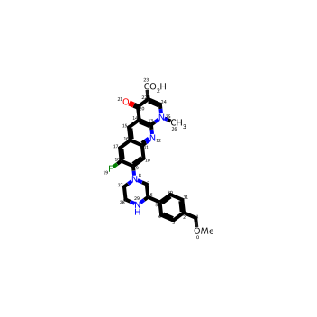 COCc1ccc(C2CN(c3cc4nc5c(cc4cc3F)c(=O)c(C(=O)O)cn5C)CCN2)cc1